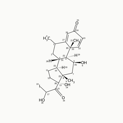 CC1C[C@@H]2[C@H]([C@@H](O)C[C@@]3(C)[C@H]2CC[C@]3(O)C(=O)C(O)I)[C@@]2(C)C=CC(=O)C=C12